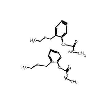 CCSCc1ccccc1OC(=O)NC.CCSCc1ccccc1OC(=O)NC